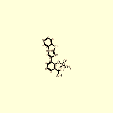 CS(=O)(=O)Oc1c(C(=O)O)cccc1-c1cn2c(n1)sc1ccccc12